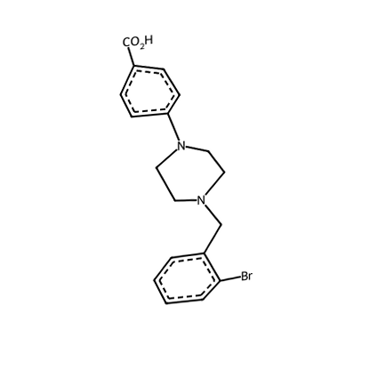 O=C(O)c1ccc(N2CCN(Cc3ccccc3Br)CC2)cc1